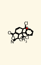 CC(C#N)C1=C(C(=O)Cl)C=CC(C(=O)Cl)C1(C(=O)Cl)c1ccccc1